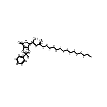 CCCCCCCCCCCCCCCC(=O)CC(O)C1OC(=O)C2=C1OC(C)(c1ccccc1)O2